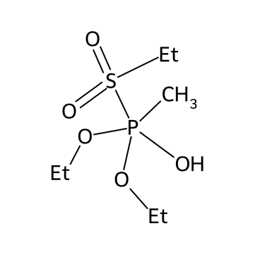 CCOP(C)(O)(OCC)S(=O)(=O)CC